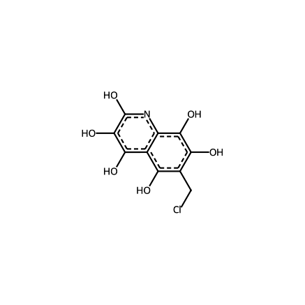 Oc1nc2c(O)c(O)c(CCl)c(O)c2c(O)c1O